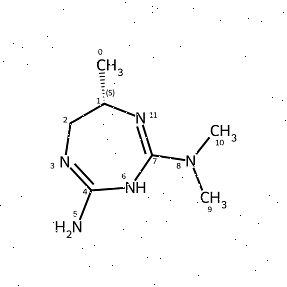 C[C@H]1CN=C(N)NC(N(C)C)=N1